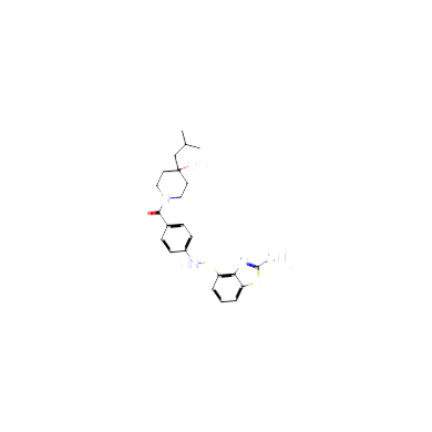 CC(C)CC1(O)CCN(C(=O)c2ccc(NSc3cccc4sc(N)nc34)cc2)CC1